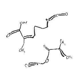 CC(=CCCN=C=O)C(=O)O.[C-]#[N+]OC(=O)C(=C)C